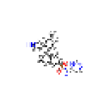 O=S(=O)(Nc1ccncn1)c1ccc2c(-c3ccc(C(F)(F)F)cc3C3(F)CNC3)cccc2c1